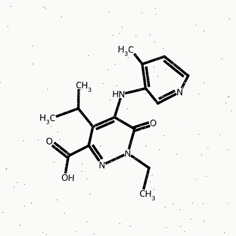 CCn1nc(C(=O)O)c(C(C)C)c(Nc2cnccc2C)c1=O